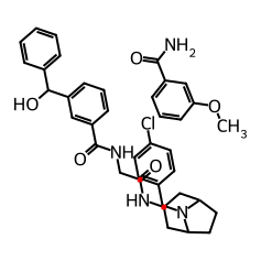 COc1cccc(C(N)=O)c1.O=C(CNC(=O)c1cccc(C(O)c2ccccc2)c1)NC1CC2CCC(C1)N2Cc1ccc(Cl)cc1